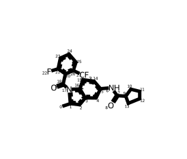 Cc1cc2cc(NC(=O)C3CCCC3)ccc2n1C(=O)c1c(F)cccc1C(F)(F)F